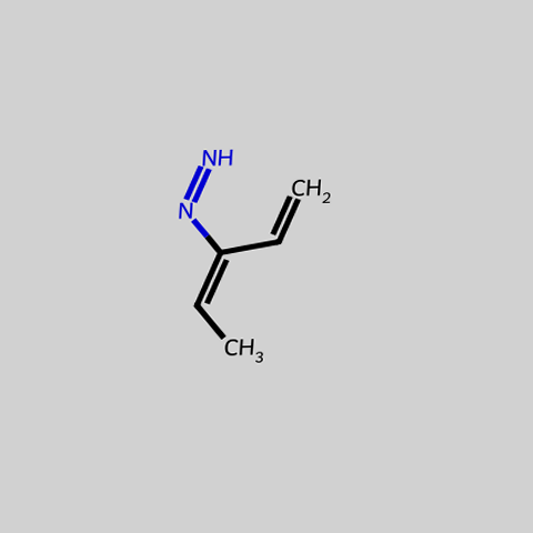 C=C/C(=C\C)N=N